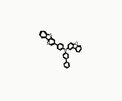 c1ccc(-c2ccc(N(c3ccc(-c4cnc5c(c4)sc4ccccc45)cc3)c3ccc4oc5ccccc5c4c3)cc2)cc1